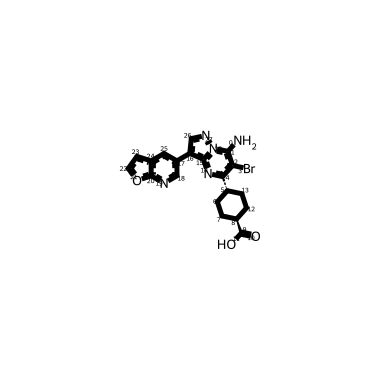 Nc1c(Br)c([C@H]2CC[C@H](C(=O)O)CC2)nc2c(-c3cnc4occc4c3)cnn12